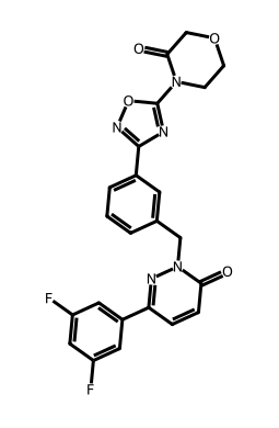 O=C1COCCN1c1nc(-c2cccc(Cn3nc(-c4cc(F)cc(F)c4)ccc3=O)c2)no1